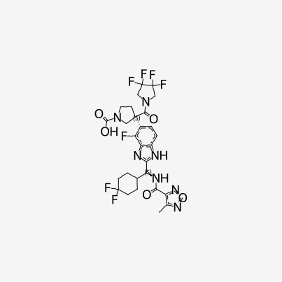 Cc1nonc1C(=O)N[C@H](c1nc2c(F)c([C@@]3(C(=O)N4CC(F)(F)C(F)(F)C4)CCN(C(=O)O)C3)ccc2[nH]1)C1CCC(F)(F)CC1